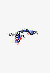 COc1ccc2c(c1C1CCN(CC3CCC(n4cc5cc(NC(=O)c6cccc(C(F)(F)F)n6)ncc5n4)CC3)CC1F)n(C)c(=O)n2C1CCC(=O)NC1=O